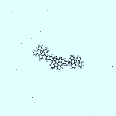 c1ccc(-c2cccc3c2oc2c(N(c4ccccc4)c4ccc5cc6c(cc5c4)oc4c5oc7cc8cc(N(c9ccccc9)c9cccc%10c9oc9c(-c%11ccccc%11)cccc9%10)ccc8cc7c5c(-c5ccccc5)c(-c5ccccc5)c64)cccc23)cc1